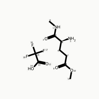 CNC(=O)[C@@H](N)CCC(=O)OC.O=C(O)C(F)(F)F